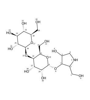 OCC1NCC(O)C1O[C@H]1O[C@H](CO)[C@H](O[C@@H]2O[C@H](CO)[C@@H](O)[C@H](O)[C@H]2O)[C@@H](O)[C@H]1O